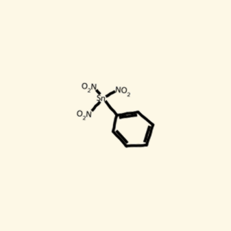 O=[N+]([O-])[Sn]([c]1ccccc1)([N+](=O)[O-])[N+](=O)[O-]